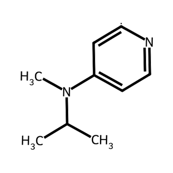 CC(C)N(C)c1c[c]ncc1